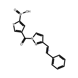 O=C(c1csc([N+](=O)O)c1)n1ccc(/C=C/c2ccccc2)n1